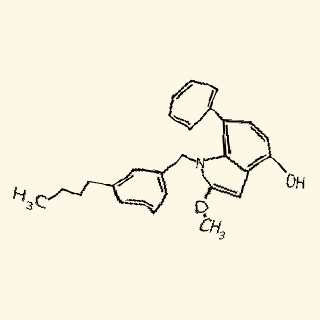 CCCCc1cccc(Cn2c(OC)cc3c(O)ccc(-c4ccccc4)c32)c1